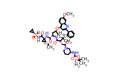 C=C[C@@H]1C[C@]1(NC(=O)[C@@H]1C[C@@H](Oc2cc(-c3ccccc3)nc3cc(OC)ccc23)CN1C(=O)[C@@H](CC(=O)N1CCC[C@H](NC(=O)OC(C)(C)C)C1)C(C)(C)C)C(=O)NS(=O)(=O)C1CC1